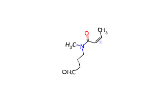 C/C=C\C(=O)N(C)CCCC=O